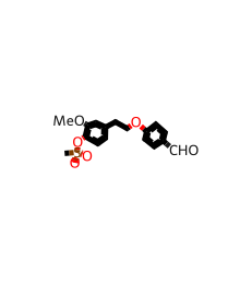 COc1cc(CCOc2ccc(C=O)cc2)ccc1OS(C)(=O)=O